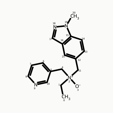 CC[N+]([O-])(Cc1cccnc1)Cc1ccc2c(cnn2C)c1